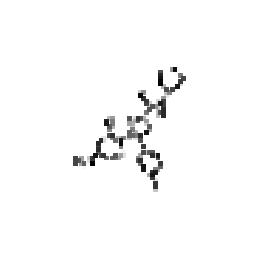 Nc1ccc(N2N=C(C(=S)NN3CCCCC3)CC2c2ccc(F)cc2)c(Cl)c1